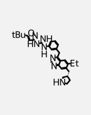 CCc1cc2c(Cc3cccc(NC(=N)Nc4cc(C(C)(C)C)on4)c3)ncnc2cc1C[C@@H]1CCNC1